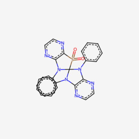 O=S1(=O)c2nccnc2N(c2ccccc2)C12N(c1ccccc1)c1nccnc1N2c1ccccc1